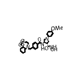 COc1ccc(N2C[C@H](C(=O)NO)[C@H](NC(=O)c3ccc(CN4CCS(=O)(=O)c5ccccc54)cc3)C2)cc1